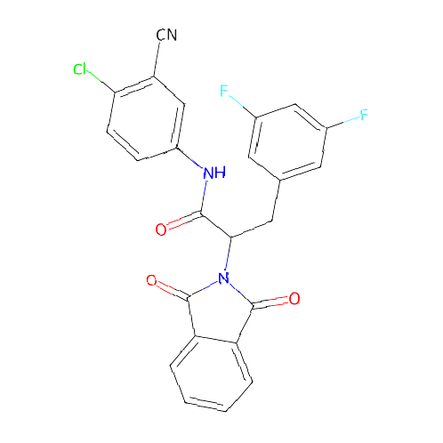 N#Cc1cc(NC(=O)C(Cc2cc(F)cc(F)c2)N2C(=O)c3ccccc3C2=O)ccc1Cl